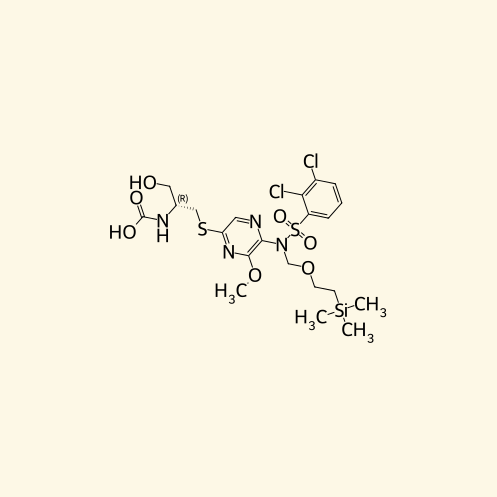 COc1nc(SC[C@@H](CO)NC(=O)O)cnc1N(COCC[Si](C)(C)C)S(=O)(=O)c1cccc(Cl)c1Cl